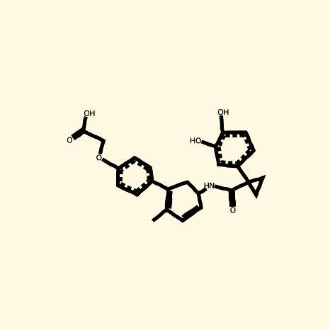 CC1=C(c2ccc(OCC(=O)O)cc2)CC(NC(=O)C2(c3ccc(O)c(O)c3)CC2)C=C1